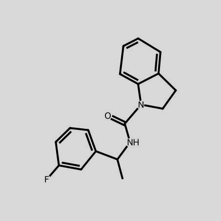 CC(NC(=O)N1CCc2ccccc21)c1cccc(F)c1